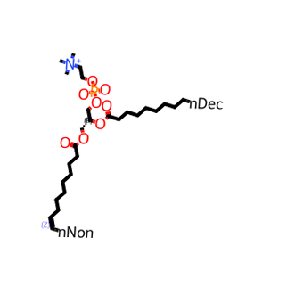 CCCCCCCCC/C=C\CCCCCCCC(=O)OC[C@H](COP(=O)([O-])OCC[N+](C)(C)C)OC(=O)CCCCCCCCCCCCCCCCCC